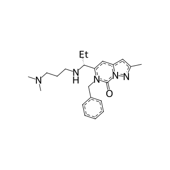 CC[C@@H](NCCCN(C)C)c1cc2cc(C)nn2c(=O)n1Cc1ccccc1